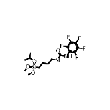 CO[Si](CCCCNC(=O)Nc1c(F)c(F)c(F)c(F)c1F)(OC)OC(C)C